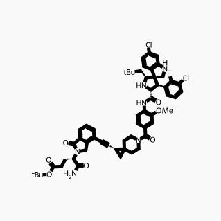 COc1cc(C(=O)N2CCC3(CC2)C[C@@H]3C#Cc2cccc3c2CN([C@@H](CCC(=O)OC(C)(C)C)C(N)=O)C3=O)ccc1NC(=O)[C@@H]1N[C@@H](CC(C)(C)C)[C@@]2(CNc3cc(Cl)ccc32)[C@H]1c1cccc(Cl)c1F